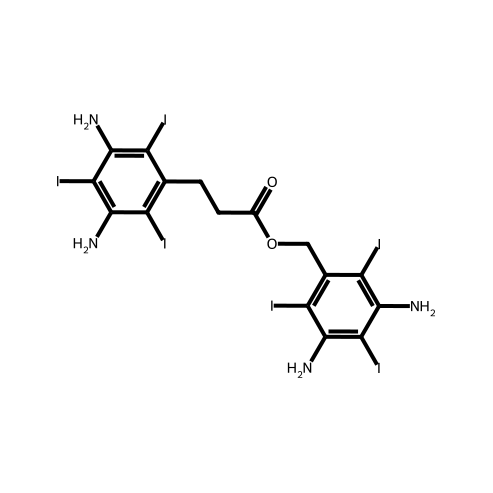 Nc1c(I)c(N)c(I)c(CCC(=O)OCc2c(I)c(N)c(I)c(N)c2I)c1I